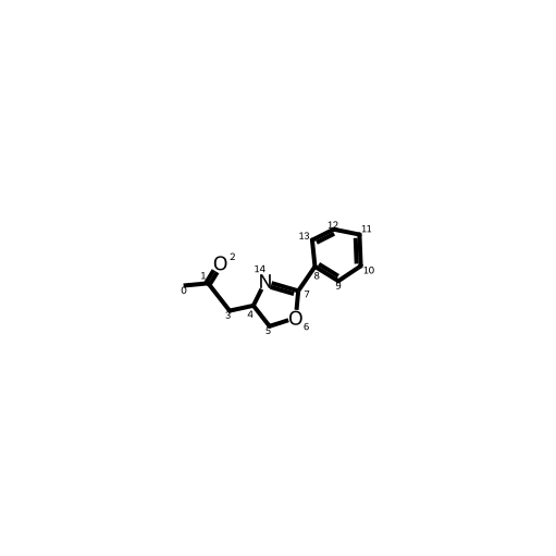 CC(=O)CC1COC(c2ccccc2)=N1